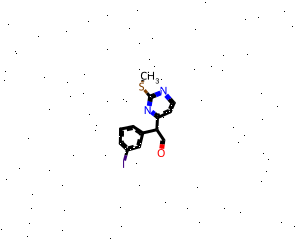 CSc1nccc(C(C=O)c2cccc(I)c2)n1